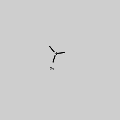 CN(C)C.[Xe]